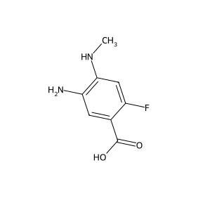 CNc1cc(F)c(C(=O)O)cc1N